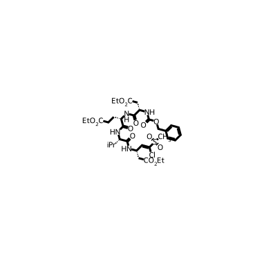 CCOC(=O)CC[C@H](NC(=O)[C@H](CC(=O)OCC)NC(=O)OCc1ccccc1)C(=O)N[C@H](C(=O)N[C@H](/C=C(\Cl)S(C)(=O)=O)CC(=O)OCC)C(C)C